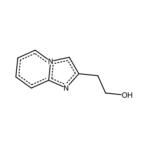 OCCc1cn2ccccc2n1